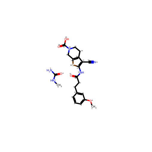 CNC(N)=O.COc1cccc(CCC(=O)Nc2sc3c(c2C#N)CCN(C(=O)O)C3)c1